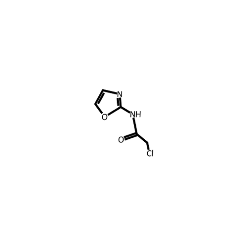 O=C(CCl)Nc1ncco1